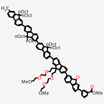 CCCCCCCCC1(CCCCCCCC)c2cc(C)ccc2-c2ccc(-c3ccc4c(c3)C(CCCCCCCC)(CCCCCCCC)c3cc(-c5ccc6c(c5)C(CCCCCCCC)(CCCCCCCC)c5cc(-c7ccc8c(c7)C(CCOCCOCCOC)(CCOCCOCCOC)c7cc(-c9ccc%10c(c9)C(=O)c9cc(-c%11cccc(C(=O)OC)c%11)ccc9-%10)ccc7-8)ccc5-6)ccc3-4)cc21